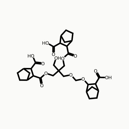 O=C(O)C1C2CCC(C2)C1OCOCC(CO)(COC(=O)C1C2CCC(C2)C1C(=O)O)COC(=O)C1C2CCC(C2)C1C(=O)O